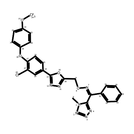 Cn1nnnc1/C(=N\OCc1nnc(-c2ccc(Oc3ccc(OC(F)(F)F)cc3)c(Cl)c2)o1)c1ccccc1